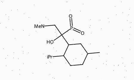 CNCC(O)(C1CC(C)CCC1C(C)C)P(=O)=O